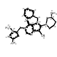 Cc1cc(Cn2cnc3c(C#N)c(N4CCC[C@H](N)C4)n(Cc4ccccc4)c3c2=O)n(C)n1